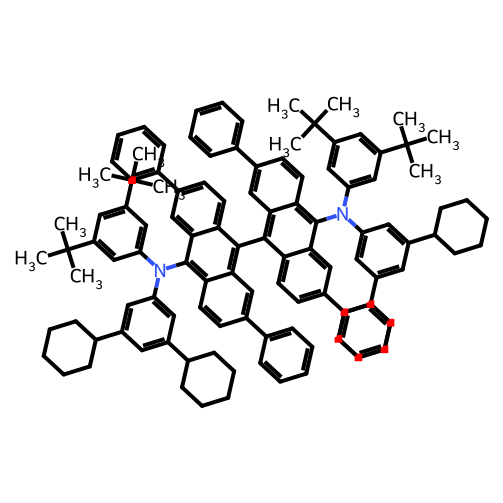 CC(C)(C)c1cc(N(c2cc(C3CCCCC3)cc(C3CCCCC3)c2)c2c3ccc(-c4ccccc4)cc3c(-c3c4cc(-c5ccccc5)ccc4c(N(c4cc(C5CCCCC5)cc(C5CCCCC5)c4)c4cc(C(C)(C)C)cc(C(C)(C)C)c4)c4cc(-c5ccccc5)ccc34)c3ccc(-c4ccccc4)cc23)cc(C(C)(C)C)c1